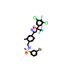 Cc1cc(C2=NOC(c3cc(Cl)c(F)c(Cl)c3)(C(F)(F)F)C2)ccc1CN=S(C)(=O)c1cccc(Br)c1